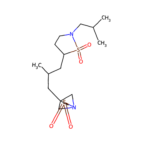 CC(C)CN1CCC(CC(C)CC23CN(C2)S(=O)(=O)C3)S1(=O)=O